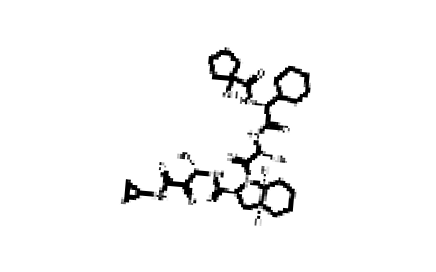 CCC[C@H](NC(=O)[C@@H]1C[C@@H]2CCCC[C@@H]2N1C(=O)[C@@H](NC(=O)[C@@H](NC(=O)C1(O)CCCC1)C1CCCCC1)C(C)(C)C)C(=O)C(=O)NC1CC1